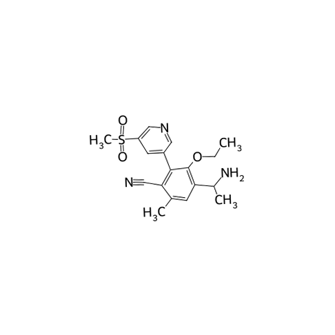 CCOc1c(C(C)N)cc(C)c(C#N)c1-c1cncc(S(C)(=O)=O)c1